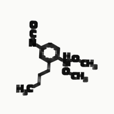 CCCCc1cc(N=C=O)ccc1[SiH](OC)OC